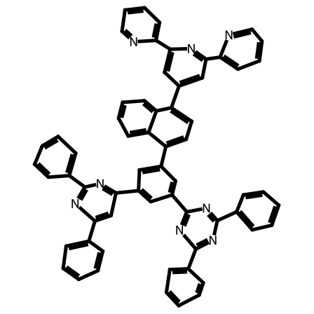 c1ccc(-c2cc(-c3cc(-c4nc(-c5ccccc5)nc(-c5ccccc5)n4)cc(-c4ccc(-c5cc(-c6ccccn6)nc(-c6ccccn6)c5)c5ccccc45)c3)nc(-c3ccccc3)n2)cc1